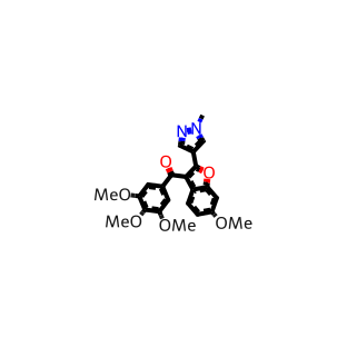 COc1ccc2c(C(=O)c3cc(OC)c(OC)c(OC)c3)c(-c3cnn(C)c3)oc2c1